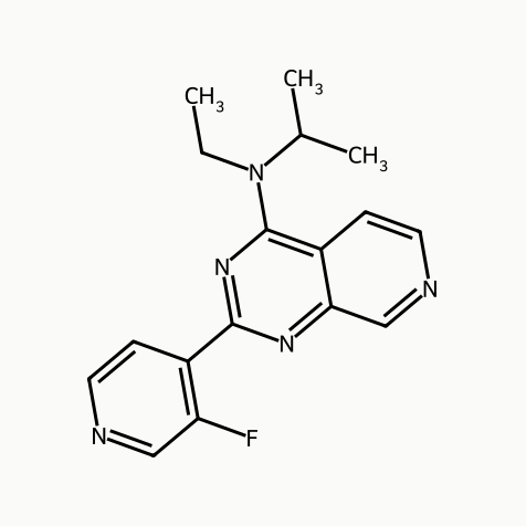 CCN(c1nc(-c2ccncc2F)nc2cnccc12)C(C)C